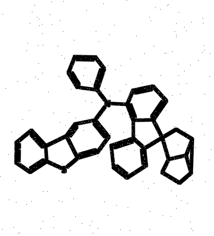 c1ccc(N(c2ccc3sc4ccccc4c3c2)c2cccc3c2-c2ccccc2C32CC3C4CCC2C43)cc1